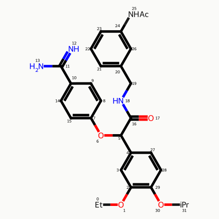 CCOc1cc(C(Oc2ccc(C(=N)N)cc2)C(=O)NCc2cccc(NC(C)=O)c2)ccc1OC(C)C